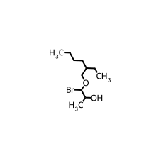 CCCCC(CC)COC(Br)C(C)O